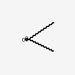 CCCCCCCCCCCCCCCCCCC(CCCCCCCCCCCCCCCCCC)=C1CC(=O)O1